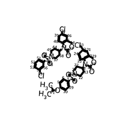 CC(C)Oc1ccc(S(=O)(=O)N2CCC(N3C(=O)OCc4cc(Cl)ccc43)CC2)cc1.O=C1OCc2cc(Cl)ccc2N1C1CCN(S(=O)(=O)c2cccc(Cl)c2)CC1